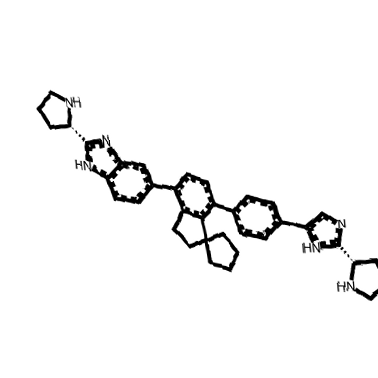 c1cc(-c2ccc(-c3ccc4[nH]c([C@@H]5CCCN5)nc4c3)c3c2C2(CCCC2)CC3)ccc1-c1cnc([C@@H]2CCCN2)[nH]1